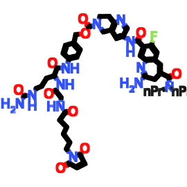 CCCN(CCC)C(=O)C1=Cc2cc(F)c(C(=O)Nc3cnc4c(c3)CN(C(=O)OCc3ccc(NC(=O)C(CCCNC(N)=O)NC(=O)CNC(=O)CCCCCN5C(=O)C=CC5=O)cc3)CC4)cc2N=C(N)C1